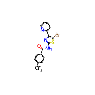 O=C(Nc1nc(-c2ccccn2)c(Br)s1)c1ccc(C(F)(F)F)cc1